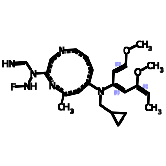 C\C=C(/C=C(\C=C\OC)N(CC1CC1)c1cccncc(N(C=N)NF)nc(C)c1)OC